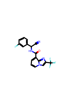 N#CC(NC(=O)c1cccn2cc(C(F)(F)F)nc12)c1cccc(F)c1